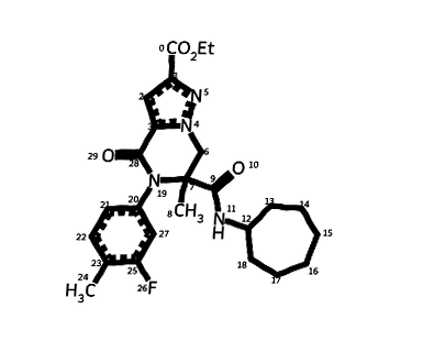 CCOC(=O)c1cc2n(n1)CC(C)(C(=O)NC1CCCCCC1)N(c1ccc(C)c(F)c1)C2=O